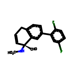 O=C[C@]1(NC(=O)O)C=CCc2ccc(-c3cc(F)ccc3F)cc21